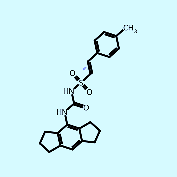 Cc1ccc(/C=C/S(=O)(=O)NC(=O)Nc2c3c(cc4c2CCC4)CCC3)cc1